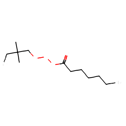 CC(C)CC(C)(C)COOOC(=O)CCCCCC(C)(C)C